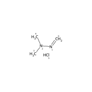 C=NN(C)C.Cl